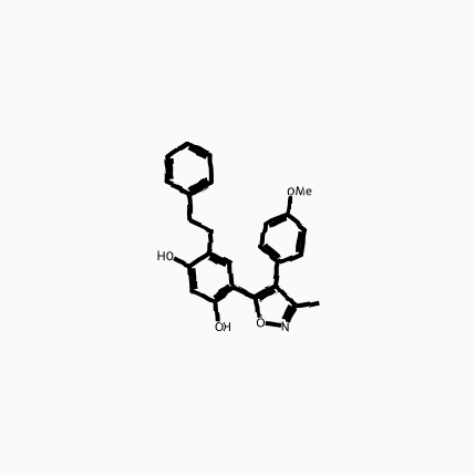 COc1ccc(-c2c(C)noc2-c2cc(CCc3ccccc3)c(O)cc2O)cc1